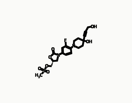 CS(=O)(=O)OC[C@H]1CN(c2ccc(N3CCC(O)(C#CCO)CC3)c(F)c2)C(=O)O1